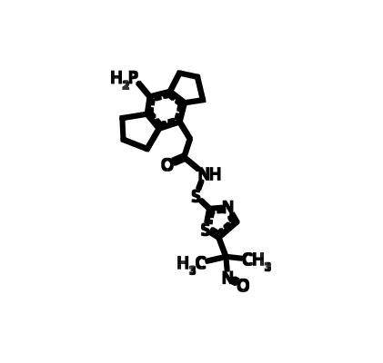 CC(C)(N=O)c1cnc(SNC(=O)Cc2c3c(c(P)c4c2CCC4)CCC3)s1